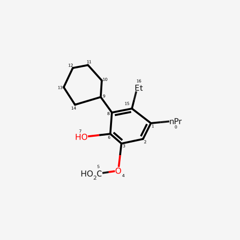 CCCc1cc(OC(=O)O)c(O)c(C2CCCCC2)c1CC